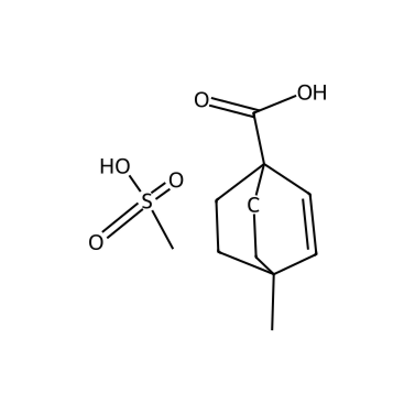 CC12C=CC(C(=O)O)(CC1)CC2.CS(=O)(=O)O